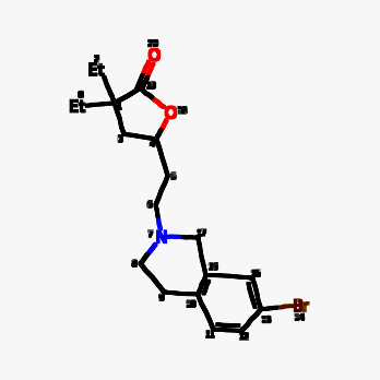 CCC1(CC)CC(CCN2CCc3ccc(Br)cc3C2)OC1=O